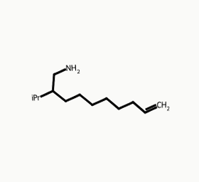 C=CCCCCCCC(CN)C(C)C